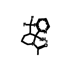 CC(=O)N1CCCC(C(F)(F)F)C1(N)c1ccccn1